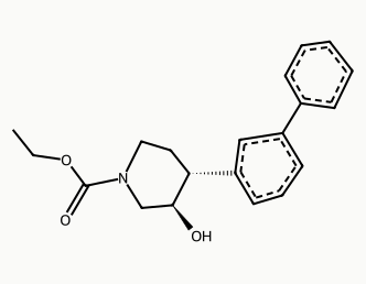 CCOC(=O)N1CC[C@H](c2cccc(-c3ccccc3)c2)[C@@H](O)C1